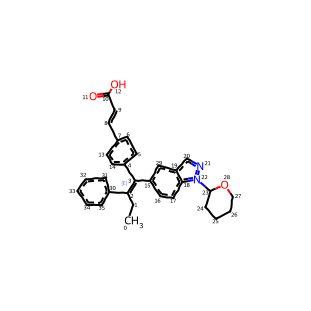 CC/C(=C(/c1ccc(C=CC(=O)O)cc1)c1ccc2c(cnn2C2CCCCO2)c1)c1ccccc1